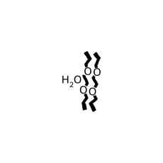 C=CCOCCOCC=C.C=CCOCCOCC=C.O